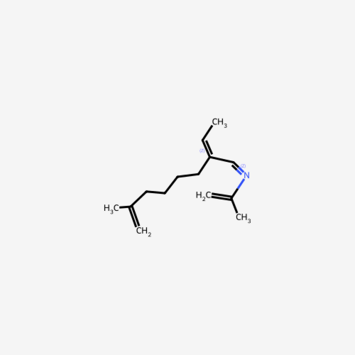 C=C(C)CCCCC(/C=N\C(=C)C)=C/C